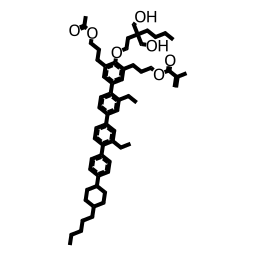 C=C(C)C(=O)OCCCc1cc(-c2ccc(-c3ccc(-c4ccc(C5CCC(CCCCC)CC5)cc4)c(CC)c3)cc2CC)cc(CCCOC(C)=O)c1OCCC(CO)(CO)CCCC